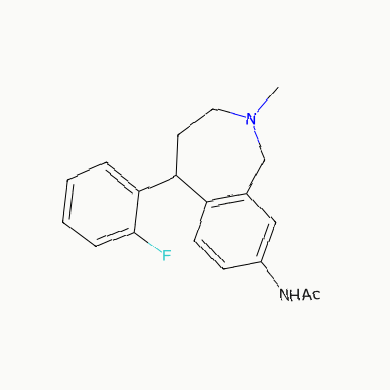 CC(=O)Nc1ccc2c(c1)CN(C)CCC2c1ccccc1F